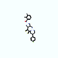 Cc1cccc(C(=O)N2CC(CN3CCC(c4ccc(F)cc4)CC3)C(c3ccsc3)C2)c1C